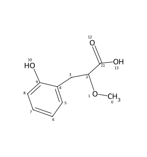 COC(Cc1ccccc1O)C(=O)O